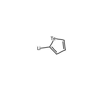 [Li][c]1ccc[te]1